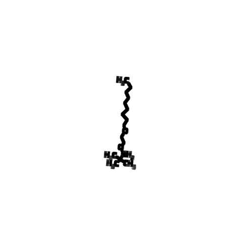 CCCCCCCCCOCCO[SiH2]C(C)(C)C